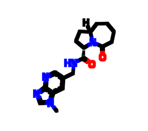 Cn1cnc2ncc(CNC(=O)[C@@H]3CC[C@@H]4CCCCC(=O)N43)cc21